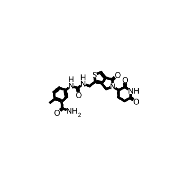 Cc1ccc(NC(=O)NCc2scc3c2CN(C2CCC(=O)NC2=O)C3=O)cc1C(N)=O